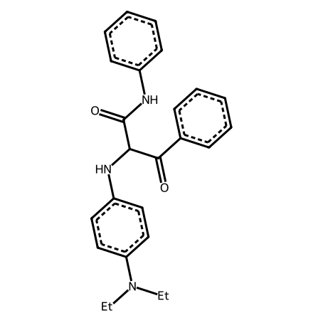 CCN(CC)c1ccc(NC(C(=O)Nc2ccccc2)C(=O)c2ccccc2)cc1